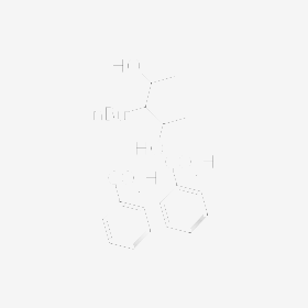 CCCCC(C(C)O)C(C)O.O=C(O)c1ccccc1.O=C(O)c1ccccc1